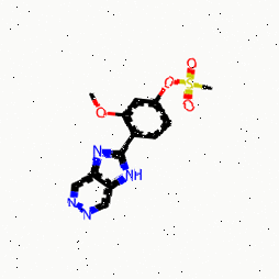 COc1cc(OS(C)(=O)=O)ccc1-c1nc2cnncc2[nH]1